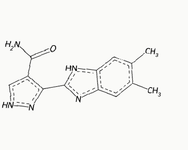 Cc1cc2nc(-c3n[nH]cc3C(N)=O)[nH]c2cc1C